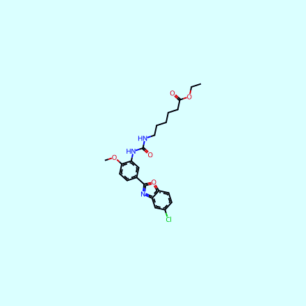 CCOC(=O)CCCCCNC(=O)Nc1cc(-c2nc3cc(Cl)ccc3o2)ccc1OC